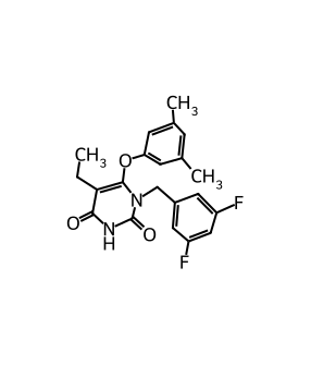 CCc1c(Oc2cc(C)cc(C)c2)n(Cc2cc(F)cc(F)c2)c(=O)[nH]c1=O